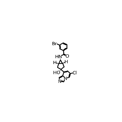 O=C(N[C@@H]1[C@@H]2C[C@@](O)(c3cc(Cl)cn4cncc34)C[C@@H]21)c1cccc(Br)c1